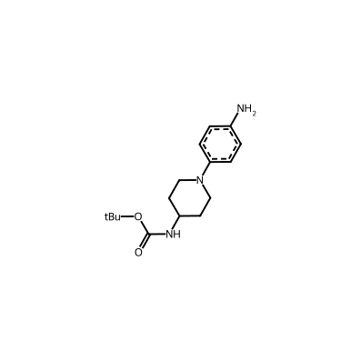 CC(C)(C)OC(=O)NC1CCN(c2ccc(N)cc2)CC1